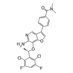 C[C@@H](Oc1c(N)ncc2c(-c3ccc(C(=O)N(C)C)cc3)coc12)c1c(Cl)c(F)cc(F)c1Cl